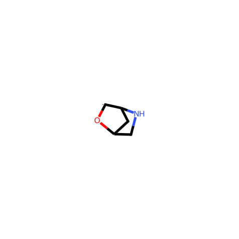 [CH]1OC2CNC1C2